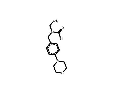 CCN(Cc1ccc(N2CCOCC2)cc1)C(=O)Cl